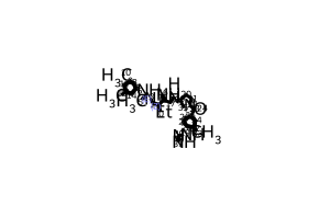 CC/C(=C/N=C(\C)Nc1cc(C)cc(C)c1)C(=N)CNC1CCN(C(=O)c2ccc(NN=N)c(C)c2)C1